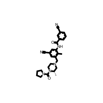 Cc1c(CN2CCN(C(=O)N3CCCC3)[C@@H](C)C2)cc(C#N)cc1NC(=O)c1cccc(C#N)c1